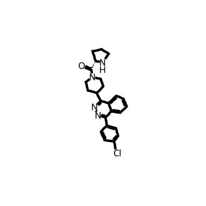 O=C([C@@H]1CCCN1)N1CCC(c2nnc(-c3ccc(Cl)cc3)c3ccccc23)CC1